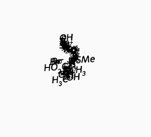 CSc1c2sc(C3=C(C(=O)O)N4C(=O)[C@H]([C@@H](C)O)[C@H]4[C@H]3C)c[n+]2cn1Cc1cccc(Cn2cc3sc(CO)c[n+]3c2)c1.[Br-].[Br-]